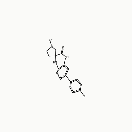 N#CN1CC[C@@]2(C1)Nc1ncc(-c3ccc(F)cc3)cc1NC2=O